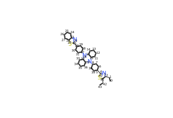 C=Cc1nc(-c2ccc(N3c4ccccc4N(c4ccc(-c5nc6ccccc6s5)cc4)c4ccccc43)cc2)sc1C=C